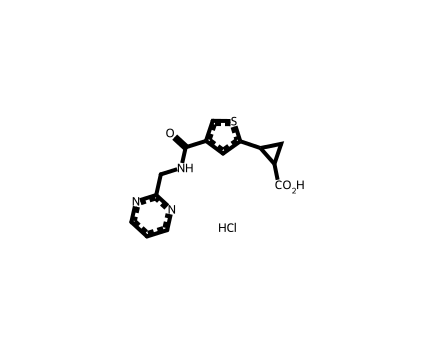 Cl.O=C(NCc1ncccn1)c1csc(C2CC2C(=O)O)c1